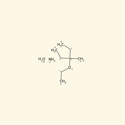 CCOC(C)(CC)CC.N.O